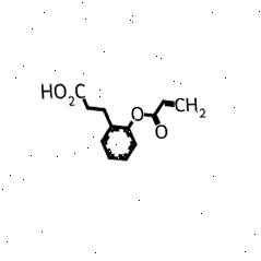 C=CC(=O)Oc1ccccc1CCC(=O)O